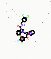 CC(C)Oc1cccc2c(C(=O)NCc3ccc(Cl)c(Cl)c3)cn(CCCN3C4CCC3CN(CC(=O)c3ccc(F)c(Cl)c3)C4)c12